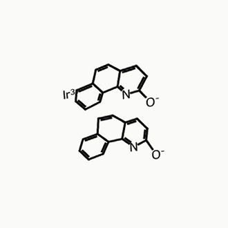 [Ir+3].[O-]c1ccc2ccc3ccccc3c2n1.[O-]c1ccc2ccc3ccccc3c2n1